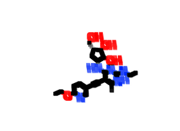 CCNc1nc(C)c(C#Cc2ccc(OCC)nc2)c(N[C@@H]2C[C@H](CO)[C@@H](O)[C@H]2O)n1